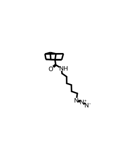 [N-]=[N+]=NCCCCCCNC(=O)C12C3C4C5C3C1C5C42